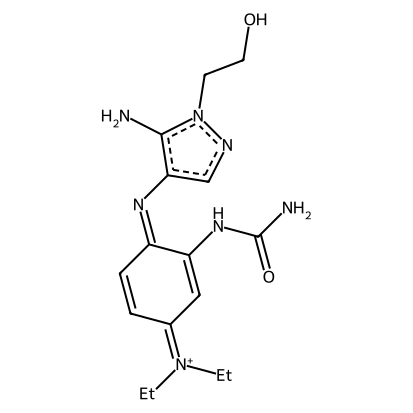 CC[N+](CC)=C1C=C/C(=N/c2cnn(CCO)c2N)C(NC(N)=O)=C1